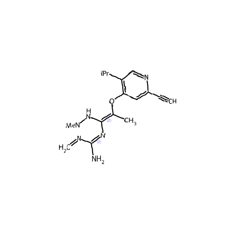 C#Cc1cc(O/C(C)=C(/N=C(/N)N=C)NNC)c(C(C)C)cn1